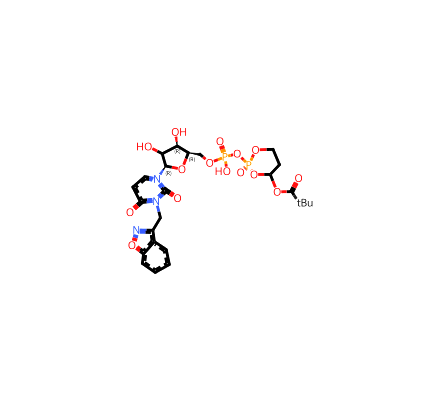 CC(C)(C)C(=O)OC1CCOP(=O)(OP(=O)(O)OC[C@H]2O[C@@H](n3ccc(=O)n(Cc4noc5ccccc45)c3=O)C(O)[C@H]2O)O1